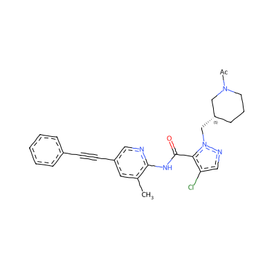 CC(=O)N1CCC[C@H](Cn2ncc(Cl)c2C(=O)Nc2ncc(C#Cc3ccccc3)cc2C)C1